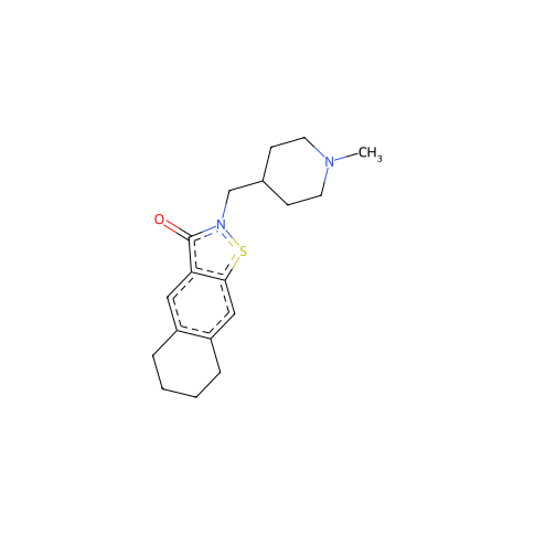 CN1CCC(Cn2sc3cc4c(cc3c2=O)CCCC4)CC1